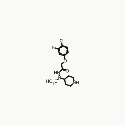 O=C(COc1ccc(Cl)c(F)c1)NN(C(=O)O)C1CCNCC1